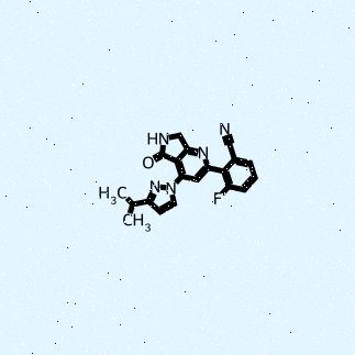 CC(C)c1ccn(-c2cc(-c3c(F)cccc3C#N)nc3c2C(=O)NC3)n1